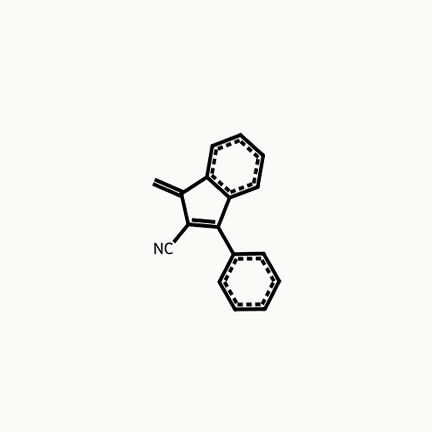 C=C1C(C#N)=C(c2ccccc2)c2ccccc21